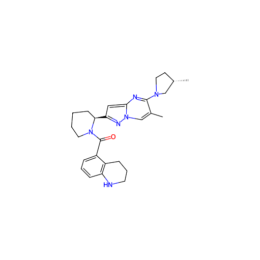 Cc1cn2nc([C@@H]3CCCCN3C(=O)c3cccc4c3CCCN4)cc2nc1N1CC[C@H](C)C1